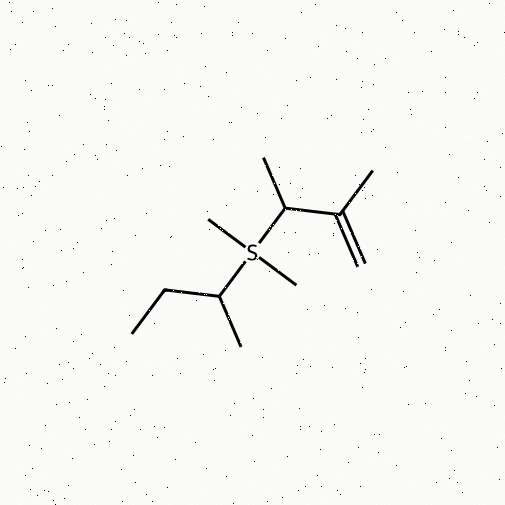 C=C(C)C(C)S(C)(C)C(C)CC